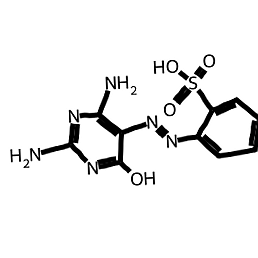 Nc1nc(N)c(/N=N/c2ccccc2S(=O)(=O)O)c(O)n1